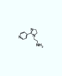 NCCN1CCN=C1c1ccncc1